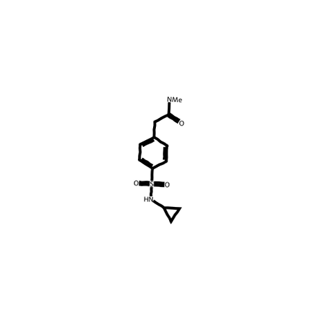 CNC(=O)Cc1ccc(S(=O)(=O)NC2CC2)cc1